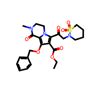 CCOC(=O)c1c(OCc2ccccc2)c2n(c1C(=O)CN1CCCCS1(=O)=O)CCN(C)C2=O